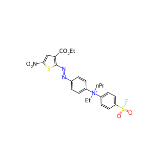 CCC[N+](CC)(c1ccc(N=Nc2sc([N+](=O)[O-])cc2C(=O)OCC)cc1)c1ccc(S(=O)(=O)F)cc1